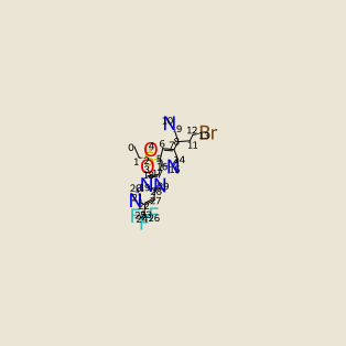 CCS(=O)(=O)c1cc(C(C#N)CCBr)cnc1-c1cn2cnc(C(F)(F)F)cc2n1